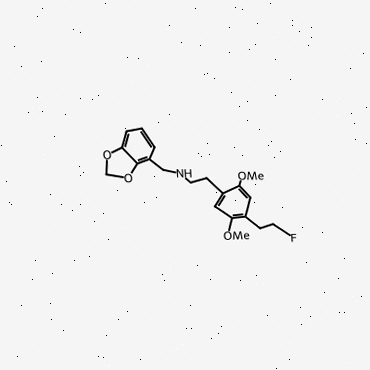 COc1cc(CCNCc2cccc3c2OCO3)c(OC)cc1CCF